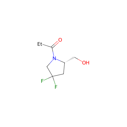 CCC(=O)N1CC(F)(F)C[C@H]1CO